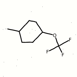 [CH2]C1CCC(OC(F)(F)F)CC1